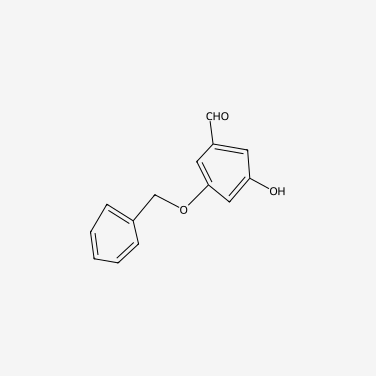 O=Cc1cc(O)cc(OCc2ccccc2)c1